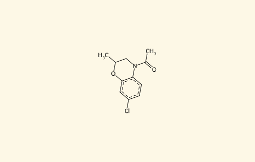 CC(=O)N1CC(C)Oc2cc(Cl)ccc21